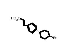 CC[C@H]1CC[C@H](c2ccc(/C=C/C(=O)O)cc2)CC1